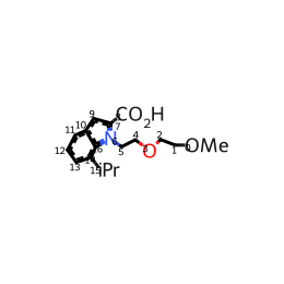 COCCOCCn1c(C(=O)O)cc2cccc(C(C)C)c21